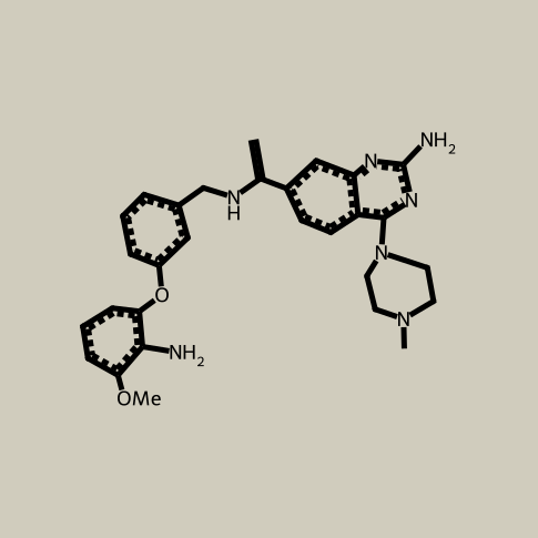 C=C(NCc1cccc(Oc2cccc(OC)c2N)c1)c1ccc2c(N3CCN(C)CC3)nc(N)nc2c1